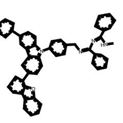 CN/C(=N\C(=N/Cc1ccc(-n2c3ccc(-c4ccccc4)cc3c3cc(-c4cccc5c4oc4ccccc45)ccc32)cc1)c1ccccc1)c1ccccc1